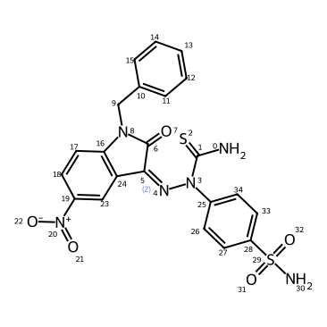 NC(=S)N(/N=C1\C(=O)N(Cc2ccccc2)c2ccc([N+](=O)[O-])cc21)c1ccc(S(N)(=O)=O)cc1